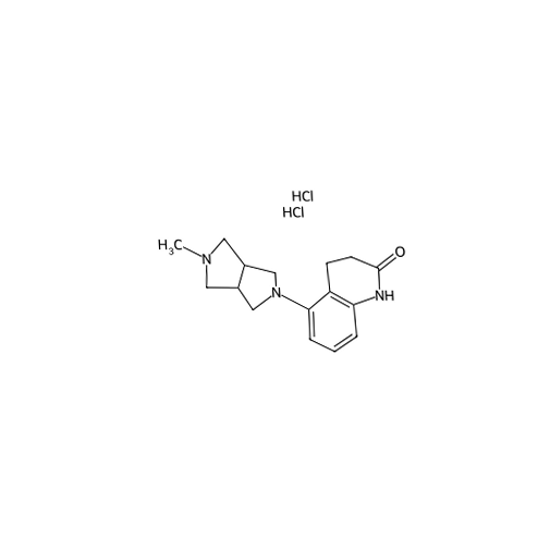 CN1CC2CN(c3cccc4c3CCC(=O)N4)CC2C1.Cl.Cl